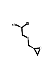 CCCC[C@@H](CC)COC[C@@H]1CO1